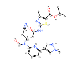 Cc1nc(NC(=O)C[C@@H](CC#N)N(C=O)c2cccc(-c3cnn(C)c3)n2)sc1C(=O)OC(C)C